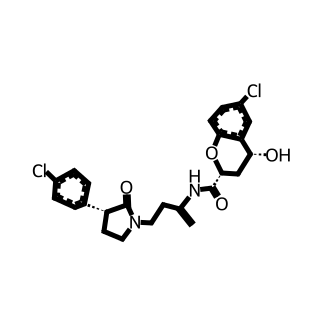 C=C(CCN1CC[C@H](c2ccc(Cl)cc2)C1=O)NC(=O)[C@H]1C[C@@H](O)c2cc(Cl)ccc2O1